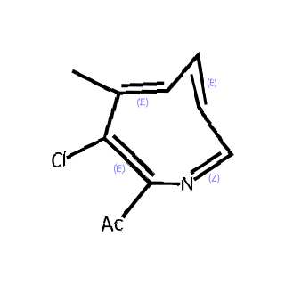 CC(=O)C1=C(Cl)/C(C)=C/C=C/C=N\1